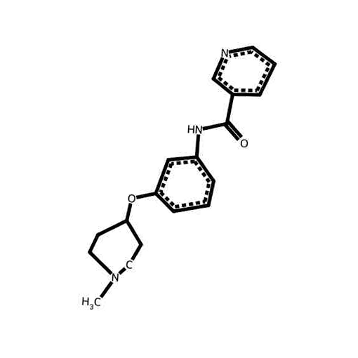 CN1CCC(Oc2cccc(NC(=O)c3cccnc3)c2)CC1